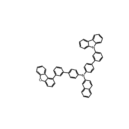 c1cc(-c2ccc(N(c3ccc(-c4cccc(-n5c6ccccc6c6ccccc65)c4)cc3)c3ccc4ccccc4c3)cc2)cc(-c2cccc3oc4ccccc4c23)c1